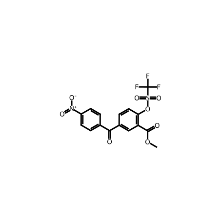 COC(=O)c1cc(C(=O)c2ccc([N+](=O)[O-])cc2)ccc1OS(=O)(=O)C(F)(F)F